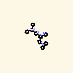 c1ccc(-c2cc(-c3ccc(-c4cc(-c5cccc(-n6c7ccccc7c7ccccc76)c5)cc(-c5ccccn5)n4)nc3)nc(-c3ccccc3)n2)cc1